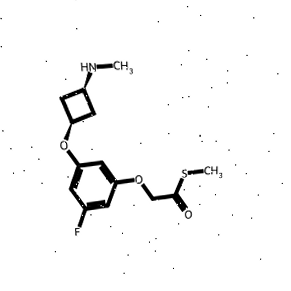 CN[C@H]1C[C@@H](Oc2cc(F)cc(OCC(=O)SC)c2)C1